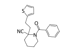 N#CC1(CCc2cccs2)CCCCN1C(=O)c1ccccc1